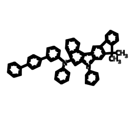 CC1(C)c2ccccc2-c2cc3c4c5ccccc5c(N(c5ccccc5)c5cccc(-c6ccc(-c7ccccc7)cc6)c5)cc4n(-c4ccccc4)c3cc21